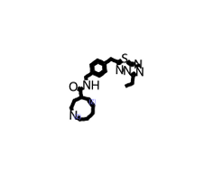 CCc1nnc2sc(Cc3ccc(CNC(=O)C4/C=C\CC/C=N\CC4)cc3)nn12